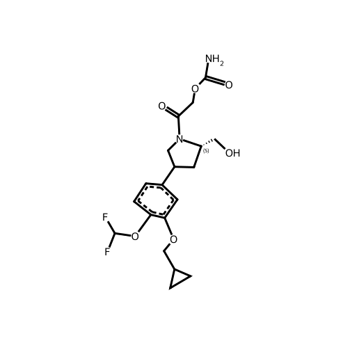 NC(=O)OCC(=O)N1CC(c2ccc(OC(F)F)c(OCC3CC3)c2)C[C@H]1CO